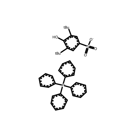 CC(C)(C)c1cc(S(=O)(=O)[O-])cc(C(C)(C)C)c1O.c1ccc([P+](c2ccccc2)(c2ccccc2)c2ccccc2)cc1